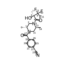 C[C@@H]1CN(C(=O)[C@@](C)(O)C(F)(F)F)[C@@H](C)CN1C(=O)c1ccc(C#N)cc1